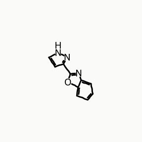 c1ccc2oc(-c3cc[nH]n3)nc2c1